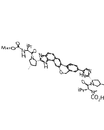 COC(=O)N[C@H](C(=O)N1C[C@@H](C)C[C@H]1c1nc2ccc3cc4c(cc3c2[nH]1)OCc1cc(-c2cnc([C@@H]3CC(C)CN3C(=O)[C@H](C(C)C)N(C)C(=O)O)[nH]2)ccc1-4)C(C)C